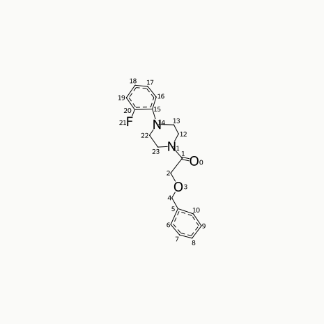 O=C(COCc1ccccc1)N1CCN(c2ccccc2F)CC1